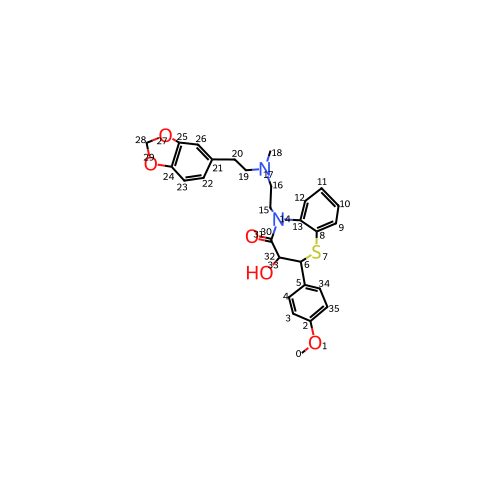 COc1ccc(C2Sc3ccccc3N(CCN(C)CCc3ccc4c(c3)OCO4)C(=O)C2O)cc1